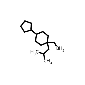 BCC1(CC(C)C)CCC(C2CCCC2)CC1